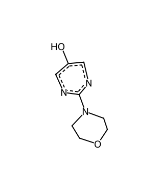 Oc1cnc(N2CCOCC2)nc1